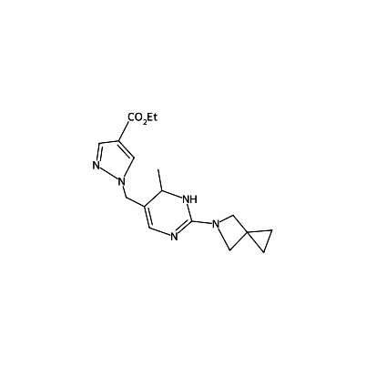 CCOC(=O)c1cnn(CC2=CN=C(N3CC4(CC4)C3)NC2C)c1